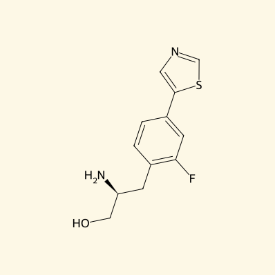 N[C@H](CO)Cc1ccc(-c2cncs2)cc1F